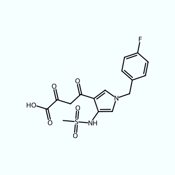 CS(=O)(=O)Nc1cn(Cc2ccc(F)cc2)cc1C(=O)CC(=O)C(=O)O